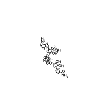 NC(=O)c1ccc[n+]([C@@H]2O[C@H](COP(=O)([O-])OP(=O)([O-])OC[C@H]3O[C@@H](n4cnc5c(N)ncnc54)[C@H](OP(=O)(O)O)[C@@H]3O)[C@@H](O)[C@H]2O)c1.[Na+]